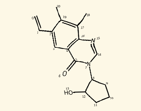 C=Cc1cc2c(=O)n(C3CCCC3O)cnc2c(C)c1C